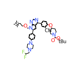 CC(C)(C)OC(=O)N1CCC(Oc2ccc(-c3ncnc4c3cc(-c3ccc(N5CCN(CC(F)F)CC5)cc3)n4COCC[Si](C)(C)C)cc2C#N)CC1